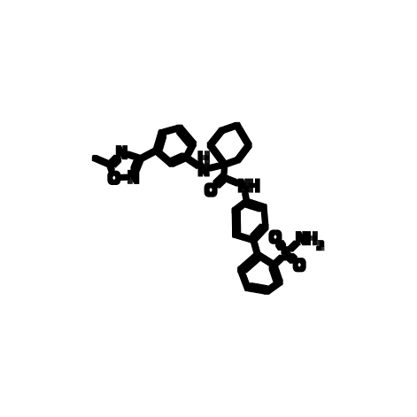 Cc1nc(-c2cccc(NC3(C(=O)Nc4ccc(-c5ccccc5S(N)(=O)=O)cc4)CCCCC3)c2)no1